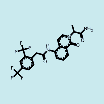 CC(C(N)=O)n1ccc2c(NC(=O)Cc3ccc(C(F)(F)F)cc3C(F)(F)F)cccc2c1=O